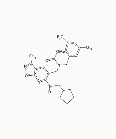 CCN(CC1CCCC1)c1nc2onc(C)c2cc1CN(Cc1cc(C(F)(F)F)cc(C(F)(F)F)c1)C(=O)OC